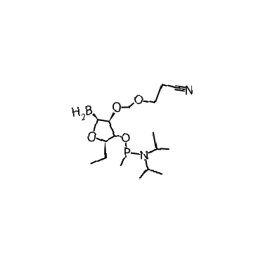 B[C@@H]1O[C@H](CC)C(OP(C)N(C(C)C)C(C)C)[C@@H]1OCOCCC#N